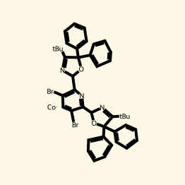 CC(C)(C)C1=NC(c2nc(C3N=C(C(C)(C)C)C(c4ccccc4)(c4ccccc4)O3)c(Br)cc2Br)OC1(c1ccccc1)c1ccccc1.[Co]